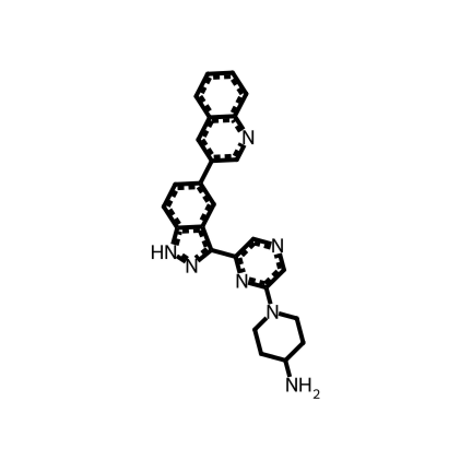 NC1CCN(c2cncc(-c3n[nH]c4ccc(-c5cnc6ccccc6c5)cc34)n2)CC1